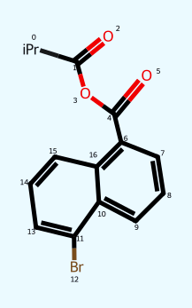 CC(C)C(=O)OC(=O)c1cccc2c(Br)cccc12